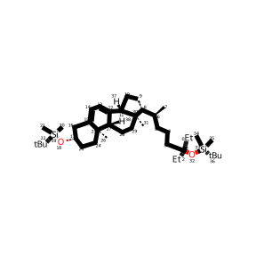 CCC(CC)(CCC[C@H](C)[C@H]1CC[C@H]2C3=CC=C4C[C@@H](O[Si](C)(C)C(C)(C)C)CC[C@]4(C)[C@H]3CC[C@]12C)O[Si](C)(C)C(C)(C)C